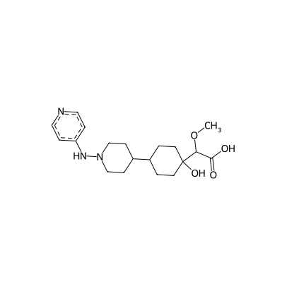 COC(C(=O)O)C1(O)CCC(C2CCN(Nc3ccncc3)CC2)CC1